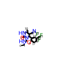 CCNC(=O)N1C(=O)NC(C)=C(C#N)C1c1cccc(C(F)(F)F)c1